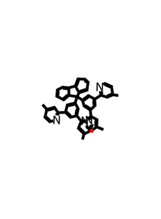 Cc1ccnc(-c2cc(-c3cc(C)ccn3)cc(C3(c4cc(-c5cc(C)ccn5)cc(-c5cc(C)ccn5)c4)c4ccccc4-c4ccccc43)c2)c1